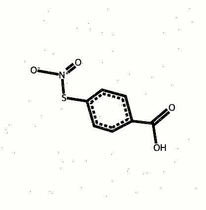 O=C(O)c1ccc(S[N+](=O)[O-])cc1